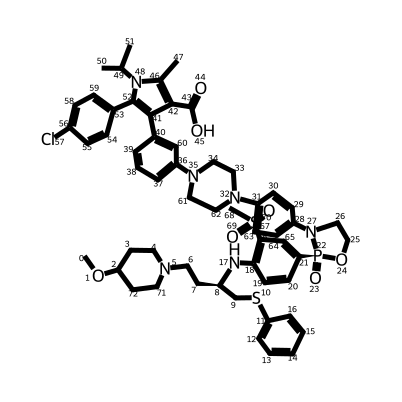 COC1CCN(CC[C@H](CSc2ccccc2)Nc2ccc([P@]3(=O)OCCN3c3ccc(N4CCN(c5cccc(-c6c(C(=O)O)c(C)n(C(C)C)c6-c6ccc(Cl)cc6)c5)CC4)cc3)cc2S(C)(=O)=O)CC1